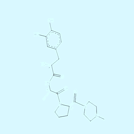 C[C@H](NC(=O)[C@H](O)Cc1ccc(O)c(O)c1)C(=O)N1CCC[C@H]1C(=O)N1CCN(C)CC1